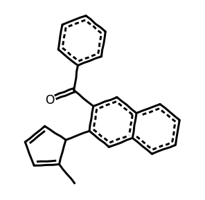 CC1=CC=CC1c1cc2ccccc2cc1C(=O)c1ccccc1